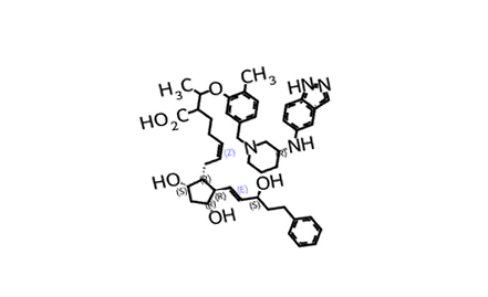 Cc1ccc(CN2CCC[C@@H](Nc3ccc4[nH]ncc4c3)C2)cc1OC(C)C(CC/C=C\C[C@@H]1[C@@H](/C=C/[C@@H](O)CCc2ccccc2)[C@H](O)C[C@@H]1O)C(=O)O